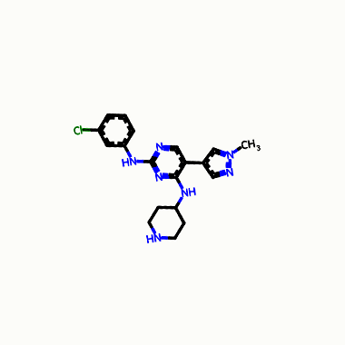 Cn1cc(-c2cnc(Nc3cccc(Cl)c3)nc2NC2CCNCC2)cn1